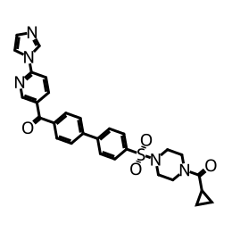 O=C(c1ccc(-c2ccc(S(=O)(=O)N3CCN(C(=O)C4CC4)CC3)cc2)cc1)c1ccc(-n2ccnc2)nc1